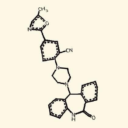 Cc1cnc(-c2ccc(N3CCN(C4c5ccccc5NC(=O)c5ccccc54)CC3)c(C#N)c2)o1